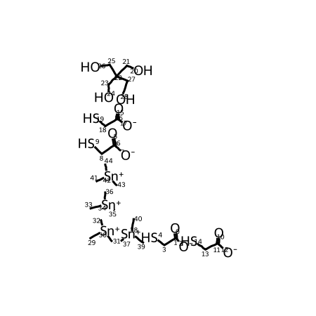 O=C([O-])CS.O=C([O-])CS.O=C([O-])CS.O=C([O-])CS.OCC(CO)(CO)CO.[CH3][Sn+]([CH3])[CH3].[CH3][Sn+]([CH3])[CH3].[CH3][Sn+]([CH3])[CH3].[CH3][Sn+]([CH3])[CH3]